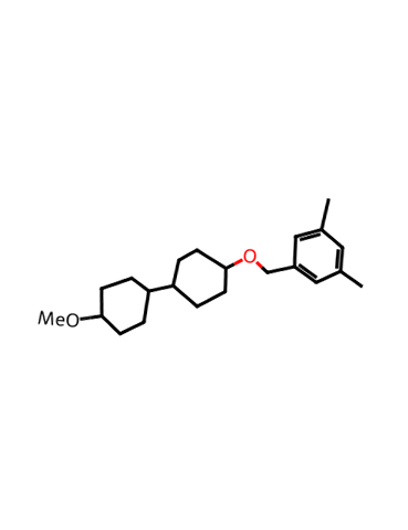 COC1CCC(C2CCC(OCc3cc(C)cc(C)c3)CC2)CC1